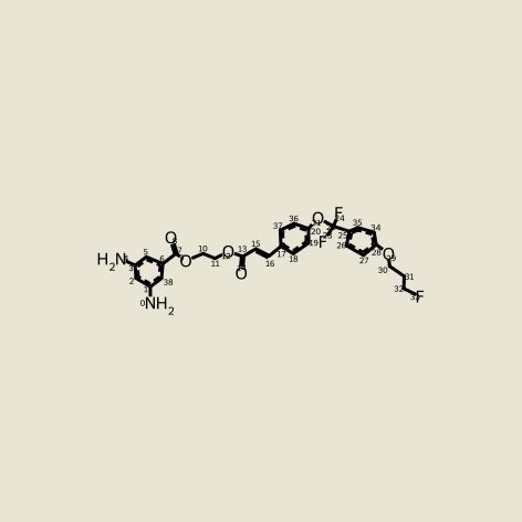 Nc1cc(N)cc(C(=O)OCCOC(=O)C=Cc2ccc(OC(F)(F)c3ccc(OCCCF)cc3)cc2)c1